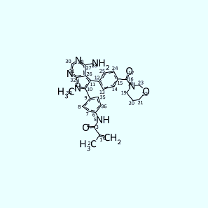 C=C(C)C(=O)Nc1ccc(-c2c(-c3ccc(C(=O)N4CCCOC4)cc3)c3c(N)ncnc3n2C)cc1